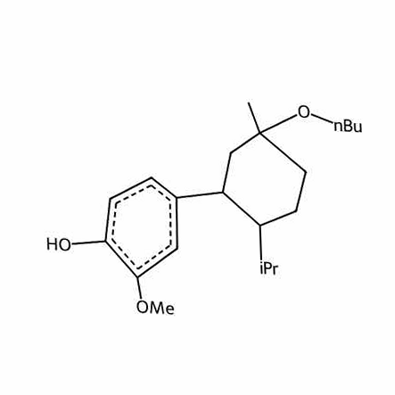 CCCCOC1(C)CCC(C(C)C)C(c2ccc(O)c(OC)c2)C1